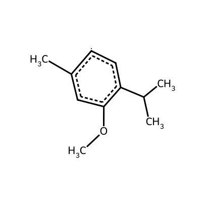 COc1cc(C)[c]cc1C(C)C